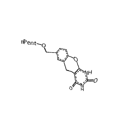 CCCCCOCc1ccc2c(c1)Cc1c([nH]c(=O)[nH]c1=O)O2